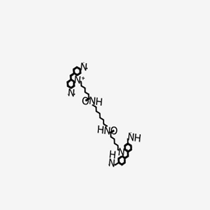 CNCc1ccc2cc3ccc(CNC)cc3[n+](CCCCCC(=O)NCCCCCCCCNC(=O)CCCCC[n+]3c4cc(N(C)C)ccc4cc4ccc(N(C)C)cc43)c2c1